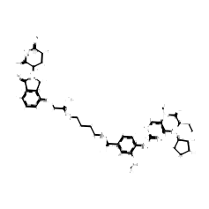 CC[C@@H]1C(=O)N(C)c2cnc(Nc3ccc(C(=O)NCCCCNC(=O)COc4cccc5c4CN(C4CCC(=O)NC4=O)C5=O)cc3OC)nc2N1C1CCCC1